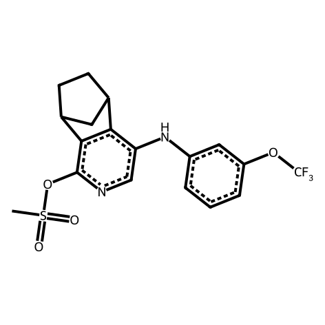 CS(=O)(=O)Oc1ncc(Nc2cccc(OC(F)(F)F)c2)c2c1C1CCC2C1